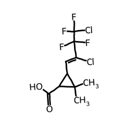 CC1(C)C(/C=C(\Cl)C(F)(F)C(F)(F)Cl)C1C(=O)O